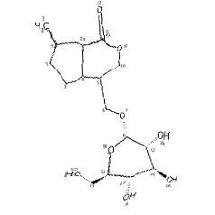 CC1CCC2C(CO[C@H]3O[C@H](CO)[C@@H](O)[C@H](O)[C@H]3O)COC(=O)C12